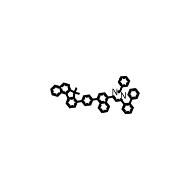 CC1(C)c2ccc3ccccc3c2-c2cccc(-c3ccc(-c4ccc(-c5cc(-c6ccccc6-c6ccccc6)nc(-c6ccccc6)n5)c5ccccc45)cc3)c21